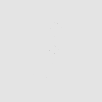 COC(=O)C1C2CC(c3cc(C)c(C4CC5CC4C(C(=O)OC)C5C=O)cc3C)C(C2)C1C=O